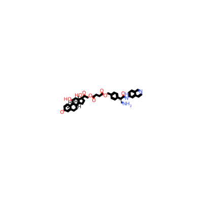 C[C@]12C=CC(=O)C=C1CC[C@@H]1[C@@H]2C(O)C[C@@]2(C)[C@H]1CC[C@]2(O)C(=O)COC(=O)CCC(=O)OCc1ccc([C@@H](CN)C(=O)Nc2ccc3cnccc3c2)cc1